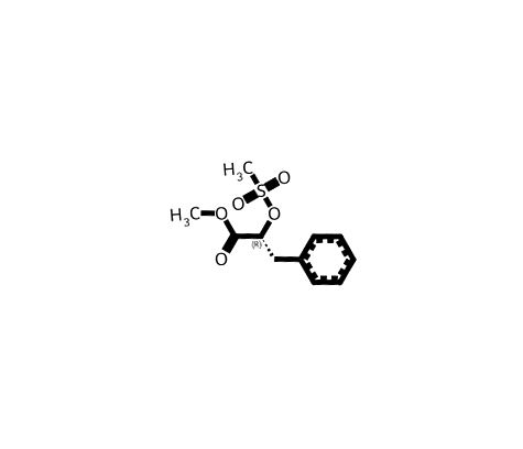 COC(=O)[C@@H](Cc1ccccc1)OS(C)(=O)=O